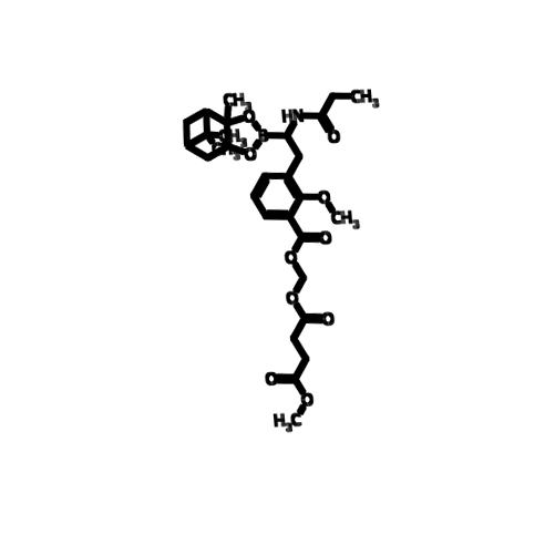 CCC(=O)NC(Cc1cccc(C(=O)OCOC(=O)CCC(=O)OC)c1OC)B1OC2CC3CC(C3(C)C)C2(C)O1